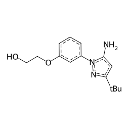 CC(C)(C)c1cc(N)n(-c2cccc(OCCO)c2)n1